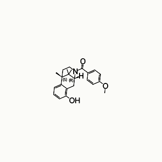 COc1ccc(C(=O)N2CC[C@@]3(C)c4cccc(O)c4C[C@@H]2C3(C)C)cc1